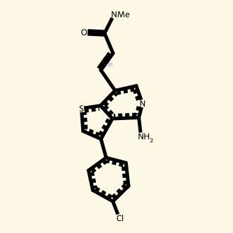 CNC(=O)/C=C/c1cnc(N)c2c(-c3ccc(Cl)cc3)csc12